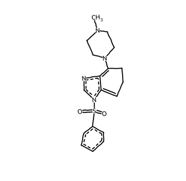 CN1CCN(C2=c3ncn(S(=O)(=O)c4ccccc4)c3=CCC2)CC1